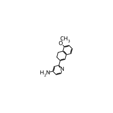 COc1cccc2c1CCC(c1cc(N)ccn1)=C2